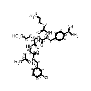 C=CCOC(=O)N[C@@H](Cc1ccc(C(=N)N)cc1)C(=O)N[C@@H](CCC(=O)O)C(=O)N[C@@H](CC(N)=O)C(=O)NCc1cccc(Cl)c1